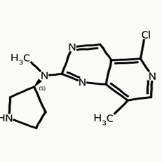 Cc1cnc(Cl)c2cnc(N(C)[C@H]3CCNC3)nc12